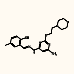 Cc1ccc(O)c(/C=N/Nc2cc(N)nc(OCCN3CCOCC3)n2)c1